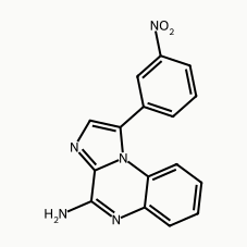 Nc1nc2ccccc2n2c(-c3cccc([N+](=O)[O-])c3)cnc12